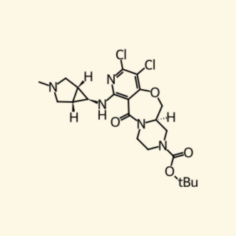 CN1C[C@@H]2[C@H](C1)[C@H]2Nc1nc(Cl)c(Cl)c2c1C(=O)N1CCN(C(=O)OC(C)(C)C)C[C@@H]1CO2